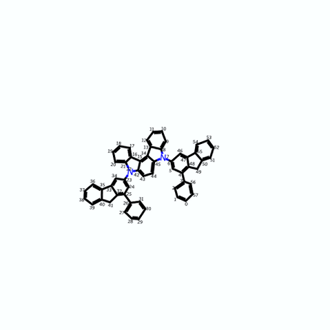 c1ccc(-c2cc(-n3c4ccccc4c4c5c6ccccc6n(-c6cc(-c7ccccc7)c7c(c6)-c6ccccc6C7)c5ccc43)cc3c2Cc2ccccc2-3)cc1